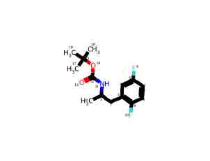 CC(Cc1cc(F)ccc1F)NC(=O)OC(C)(C)C